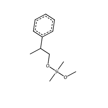 CO[Si](C)(C)OCC(C)c1ccccc1